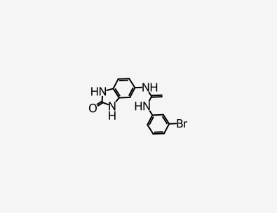 C=C(Nc1cccc(Br)c1)Nc1ccc2[nH]c(=O)[nH]c2c1